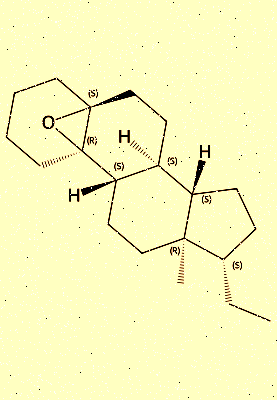 CC[C@H]1CC[C@H]2[C@@H]3CC[C@@]45CCCC[C@@]4(O5)[C@H]3CC[C@]12C